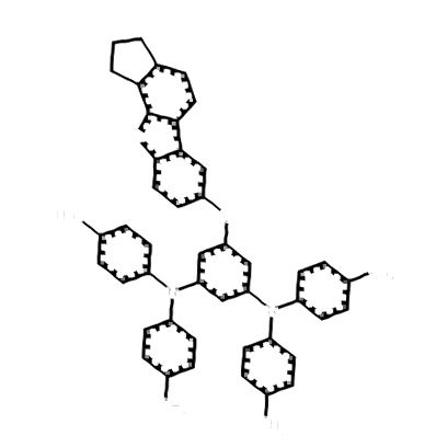 Cc1ccc(N(c2ccc(C)cc2)c2cc(Oc3ccc4sc5c6c(ccc5c4c3)CCC6)cc(N(c3ccc(C)cc3)c3ccc(C)cc3)c2)cc1